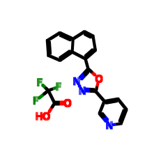 O=C(O)C(F)(F)F.c1cncc(-c2nnc(-c3cccc4ccccc34)o2)c1